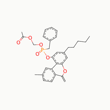 C=C1Oc2cc(CCCCC)cc(OP(=O)(Cc3ccccc3)OCOC(C)=O)c2-c2cc(C)ccc21